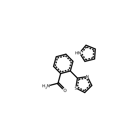 NC(=O)c1ccccc1-c1nccs1.c1cc[nH]c1